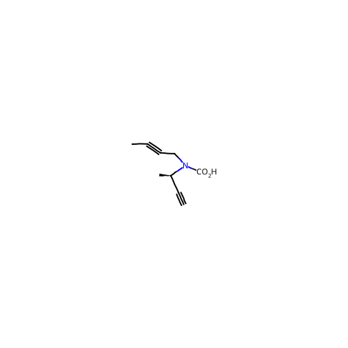 C#C[C@@H](C)N(CC#CC)C(=O)O